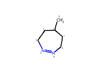 CC1CCN=NCC1